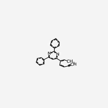 C#C/C=C\C(=C/C)c1cc(-c2ccccc2)nc(-c2ccccc2)n1